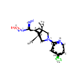 N=C(NO)[C@H]1[C@@H]2CN(c3cc(Cl)ccn3)C[C@@H]21